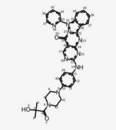 CC(C)(O)C(=O)N1CCN(c2ccc(Nc3ncc4c(=O)n5c(nc4n3)c3ccccc3n5-c3ccccn3)cc2)CC1